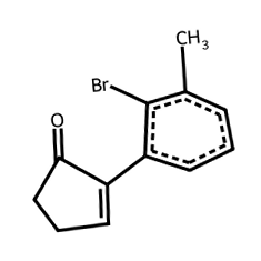 Cc1cccc(C2=CCCC2=O)c1Br